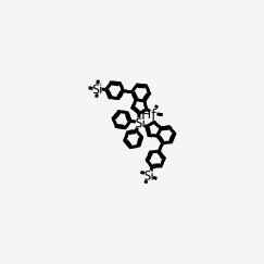 C[Si](C)(C)c1ccc(-c2cccc3c2C=C2[CH]3[Hf]([CH3])([CH3])[CH]3C(=Cc4c(-c5ccc([Si](C)(C)C)cc5)cccc43)[Si]2(c2ccccc2)c2ccccc2)cc1